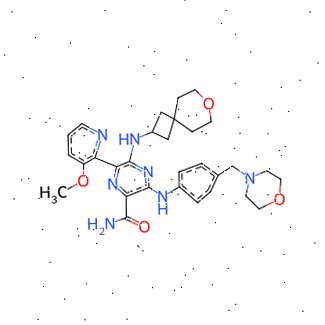 COc1cccnc1-c1nc(C(N)=O)c(Nc2ccc(CN3CCOCC3)cc2)nc1NC1CC2(CCOCC2)C1